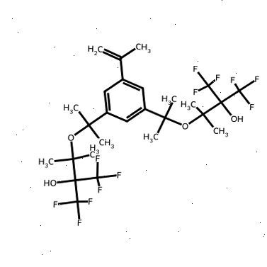 C=C(C)c1cc(C(C)(C)OC(C)(C)C(O)(C(F)(F)F)C(F)(F)F)cc(C(C)(C)OC(C)(C)C(O)(C(F)(F)F)C(F)(F)F)c1